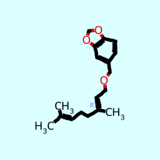 CC(C)=CCC/C(C)=C/COCc1ccc2c(c1)OCO2